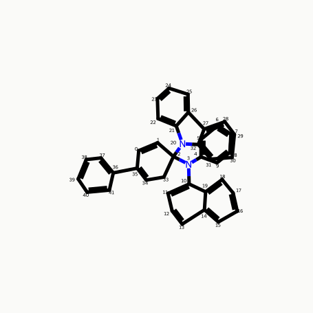 C1=CC(N(c2ccccc2)c2cccc3ccccc23)(n2c3ccccc3c3ccccc32)CC=C1c1ccccc1